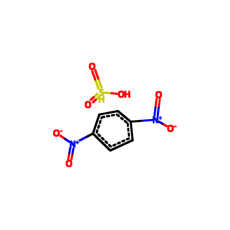 O=[N+]([O-])c1ccc([N+](=O)[O-])cc1.O=[SH](=O)O